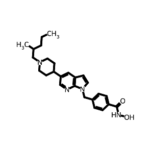 CCCC(C)CN1CCC(c2cnc3c(ccn3Cc3ccc(C(=O)NO)cc3)c2)CC1